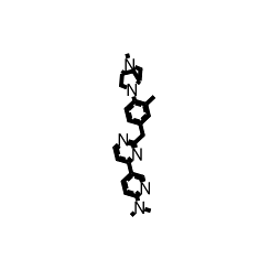 Cc1cc(Cc2nccc(-c3ccc(N(C)C)nc3)n2)ccc1N1CC2CC1CN2C